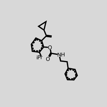 C=C(c1cccc(C(C)C)c1OC(=O)NCCc1ccccc1)C1CC1